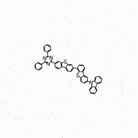 c1ccc(-c2nc(-c3ccccc3)nc(-c3ccc4c(c3)sc3cc(-c5cccc6c5sc5ccc(-n7c8ccccc8c8ccccc87)cc56)ccc34)n2)cc1